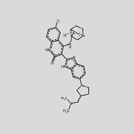 CN(C)CC1CCN(c2ccc3nc(-c4c(N[C@@H]5CN6CCC5CC6)c5cc(Cl)ccc5[nH]c4=O)[nH]c3c2)C1